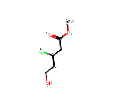 CCCCOC(=O)CC(Cl)CCO